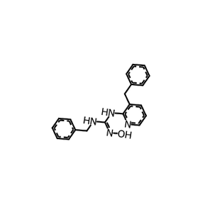 ON=C(NCc1ccccc1)Nc1ncccc1Cc1ccccc1